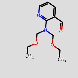 CCOCN(COCC)c1ncccc1C=O